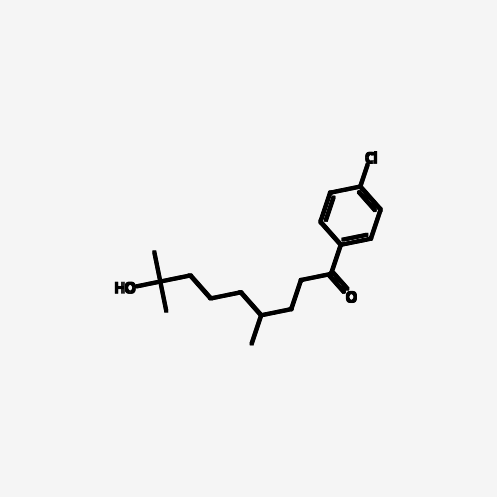 CC(CCCC(C)(C)O)CCC(=O)c1ccc(Cl)cc1